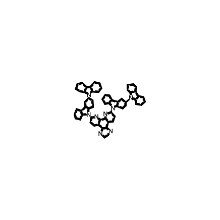 c1ccc2c(c1)c1ccccc1n2-c1ccc2c(c1)c1ccccc1n2-c1ccc2c3nccnc3c3ccc(-n4c5ccccc5c5cc(-n6c7ccccc7c7ccccc76)ccc54)nc3c2n1